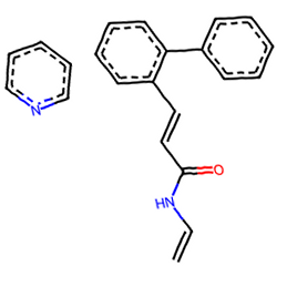 C=CNC(=O)C=Cc1ccccc1-c1ccccc1.c1ccncc1